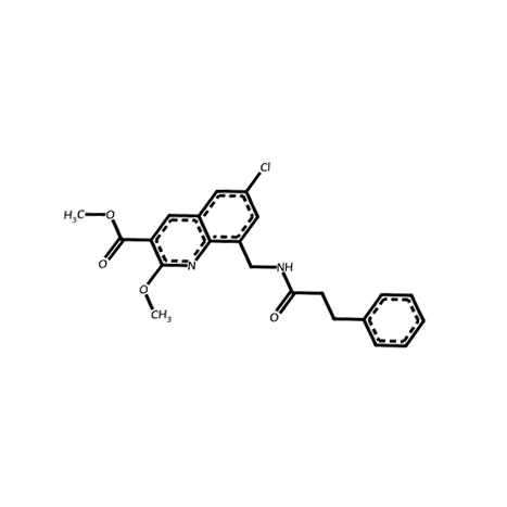 COC(=O)c1cc2cc(Cl)cc(CNC(=O)CCc3ccccc3)c2nc1OC